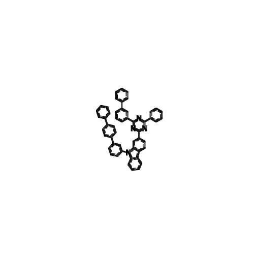 c1ccc(-c2ccc(-c3cccc(-n4c5ccccc5c5ccc(-c6nc(-c7ccccc7)nc(-c7cccc(-c8ccccc8)c7)n6)cc54)c3)cc2)cc1